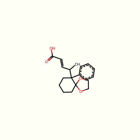 CC(/C=C/C(=O)O)C1(c2ccccc2)CCCCC12OCCO2